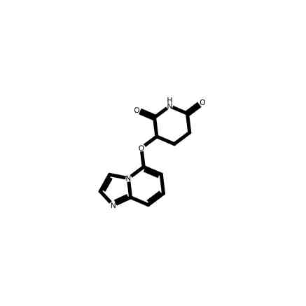 O=C1CCC(Oc2cccc3nccn23)C(=O)N1